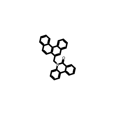 O=c1c2ccccc2c2ccccc2n1Cc1cc2ccccc2c2c1ccc1ccccc12